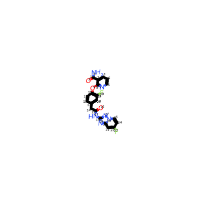 NC(=O)c1cccnc1Oc1ccc(CC(=O)Nc2nc3cc(F)ccn3n2)cc1F